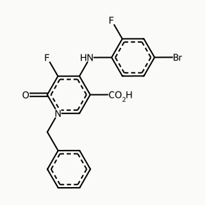 O=C(O)c1cn(Cc2ccccc2)c(=O)c(F)c1Nc1ccc(Br)cc1F